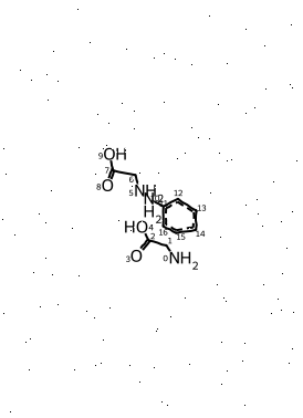 NCC(=O)O.NCC(=O)O.Nc1ccccc1